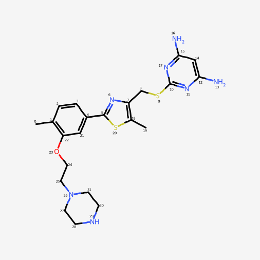 Cc1ccc(-c2nc(CSc3nc(N)cc(N)n3)c(C)s2)cc1OCCN1CCNCC1